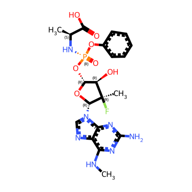 CNc1nc(N)nc2c1ncn2[C@@H]1O[C@H](O[P@@](=O)(N[C@@H](C)C(=O)O)Oc2ccccc2)[C@@H](O)[C@@]1(C)F